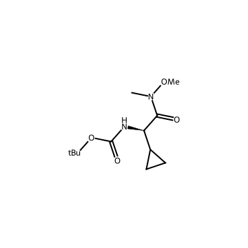 CON(C)C(=O)[C@H](NC(=O)OC(C)(C)C)C1CC1